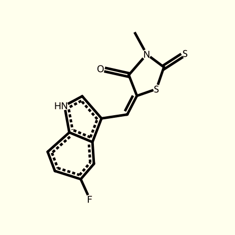 CN1C(=O)C(=Cc2c[nH]c3ccc(F)cc23)SC1=S